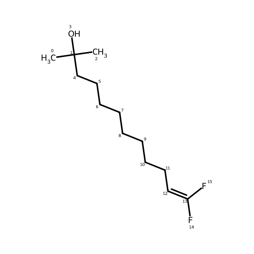 CC(C)(O)CCCCCCCCC=C(F)F